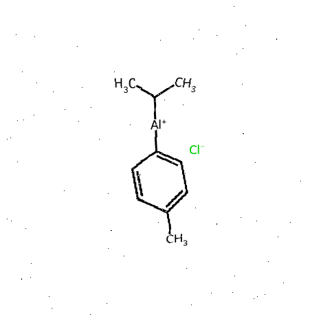 Cc1cc[c]([Al+][CH](C)C)cc1.[Cl-]